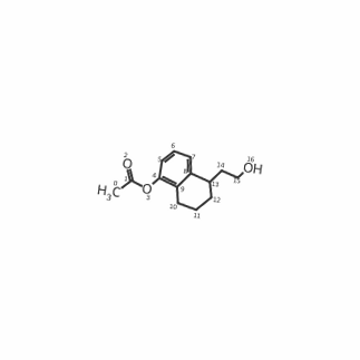 CC(=O)Oc1cccc2c1CCCC2CCO